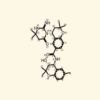 Cc1ccc2c(c1)[C@H](NC(=O)c1ccc3c(c1)[C@H](N1C(=N)NC(C)(C)CC1=O)CC(C)(C)O3)[C@@H](O)C(C)(C)O2